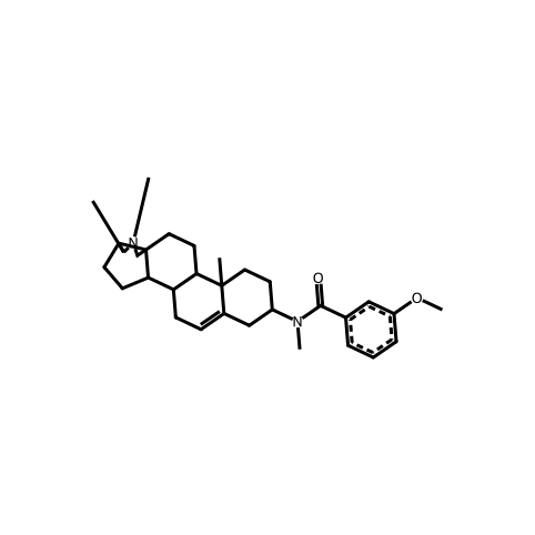 COc1cccc(C(=O)N(C)C2CCC3(C)C(=CCC4C3CCC35CN(C)C(C)C3CCC45)C2)c1